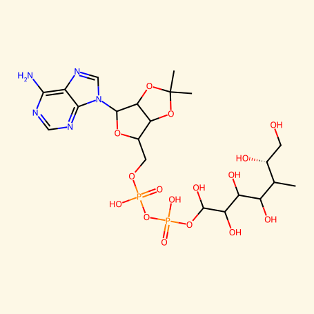 CC(C(O)C(O)C(O)C(O)OP(=O)(O)OP(=O)(O)OCC1OC(n2cnc3c(N)ncnc32)C2OC(C)(C)OC12)[C@H](O)CO